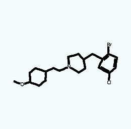 COC1CCC(CCN2CCC(Cc3cc(Cl)ccc3Br)CC2)CC1